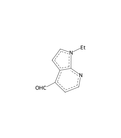 CCn1ccc2c(C=O)ccnc21